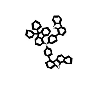 c1ccc(C2(c3ccccc3)c3ccccc3-c3c(N(c4ccc(-c5cccc6c5sc5ccccc56)cc4)c4ccc(-c5cccc6oc7c8ccccc8ccc7c56)cc4)cccc32)cc1